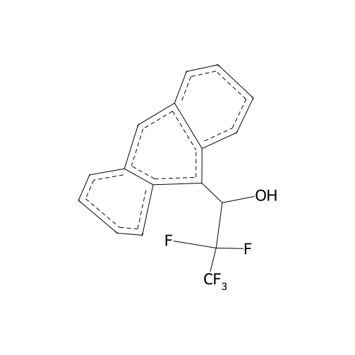 OC(c1c2ccccc2cc2ccccc12)C(F)(F)C(F)(F)F